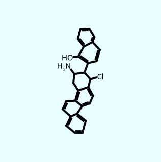 NC1Cc2c(ccc3c2ccc2ccccc23)C(Cl)C1c1ccc2ccccc2c1O